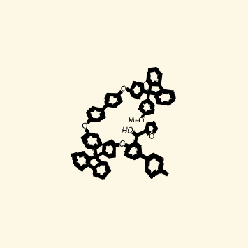 COc1ccc(C2(c3ccc(Oc4ccc(-c5ccc(Oc6ccc(C7(c8ccc(Oc9ccc(-c%10ccc(C)cc%10)cc9C(O)c9ccco9)cc8)c8ccccc8-c8ccccc87)cc6)cc5)cc4)cc3)c3ccccc3-c3ccccc32)cc1